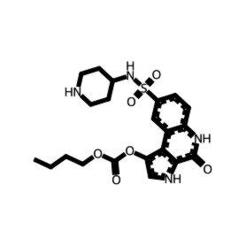 CCCCOC(=O)Oc1c[nH]c2c(=O)[nH]c3ccc(S(=O)(=O)NC4CCNCC4)cc3c12